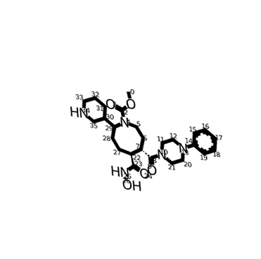 COC(=O)N1CC[C@H](C(=O)N2CCN(c3ccccc3)CC2)[C@@H](C(=O)NO)CCC1C1CCCNC1